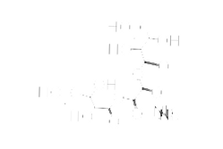 O=C(OC(=O)C(O)C(O)C(=O)O)C(=O)OC(=O)C(O)C(O)C(=O)O.[Nb].[Nb]